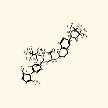 Cc1ccc(C)n1-c1ccc([C@@H](CN(C[C@H]2CCc3cc(B4OC(C)(C)C(C)(C)O4)ccc3O2)C(=O)O)O[Si](C)(C)C(C)(C)C)cn1